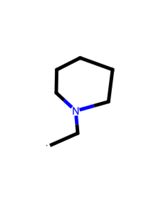 [CH2]CN1CCCCC1